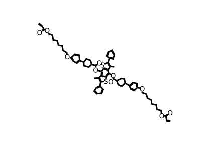 C=CC(=O)OCCCCCCCCOc1ccc(C2CCC(C(=O)Oc3c4sc(-c5ccccc5)c(C)c4c(OC(=O)C4CCC(c5ccc(OCCCCCCCCOC(=O)C=C)cc5)CC4)c4sc(-c5ccccc5)c(C)c34)CC2)cc1